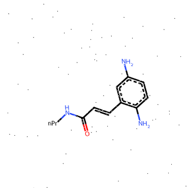 CCCNC(=O)/C=C/c1cc(N)ccc1N